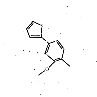 COc1cc(-c2cccs2)ccc1C